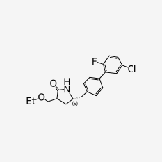 CCOCC1C[C@@H](Cc2ccc(-c3cc(Cl)ccc3F)cc2)NC1=O